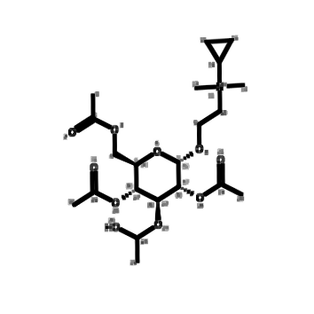 CC(=O)OC[C@H]1O[C@H](OCC[N+](C)(C)C2CC2)[C@H](OC(C)=O)[C@@H](OC(C)O)[C@@H]1OC(C)=O